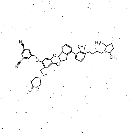 Cc1c(OCCCN2C(C)CCC2C)cccc1-c1cccc2c1CC[C@@H]2Oc1cc(OCc2cc(C#N)cc(C#N)c2)c(CN[C@H]2CCC(=O)NC2)cc1Cl